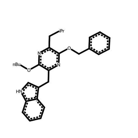 CCCCOc1nc(CC(C)C)c(OCc2ccccc2)nc1Cc1c[nH]c2ccccc12